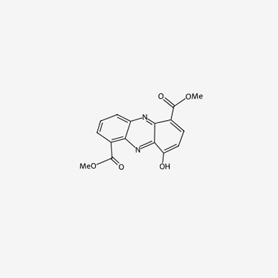 COC(=O)c1cccc2nc3c(C(=O)OC)ccc(O)c3nc12